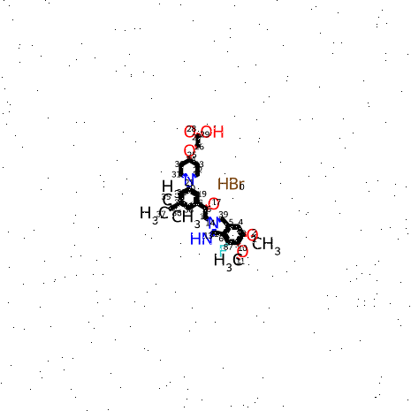 Br.COc1cc2c(c(F)c1OC)C(=N)N(CC(=O)c1cc(N3CCC(OCC(=O)O)CC3)cc(C(C)(C)C)c1)C2